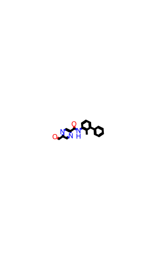 Cc1c(NC(=O)c2cnc(C=O)cn2)cccc1-c1ccccc1